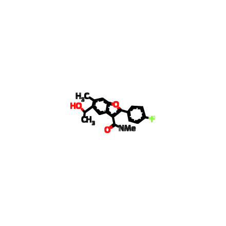 CNC(=O)c1c(-c2ccc(F)cc2)oc2cc(C)c(C(C)O)cc12